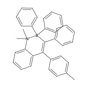 Cc1ccc(C2=C(c3ccccc3)[B-](c3ccccc3)(c3ccccc3)[N+](C)(C)c3ccccc32)cc1